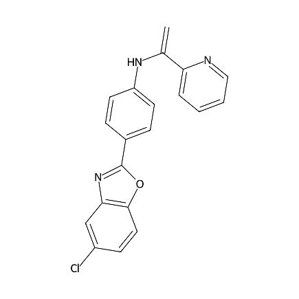 C=C(Nc1ccc(-c2nc3cc(Cl)ccc3o2)cc1)c1ccccn1